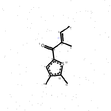 C/C=C(\C)C(=O)c1cc(C)c(C)s1